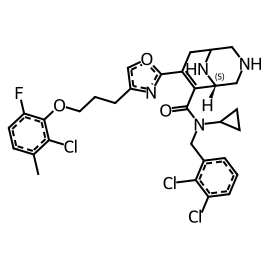 Cc1ccc(F)c(OCCCc2coc(C3=C(C(=O)N(Cc4cccc(Cl)c4Cl)C4CC4)[C@H]4CNCC(C3)N4)n2)c1Cl